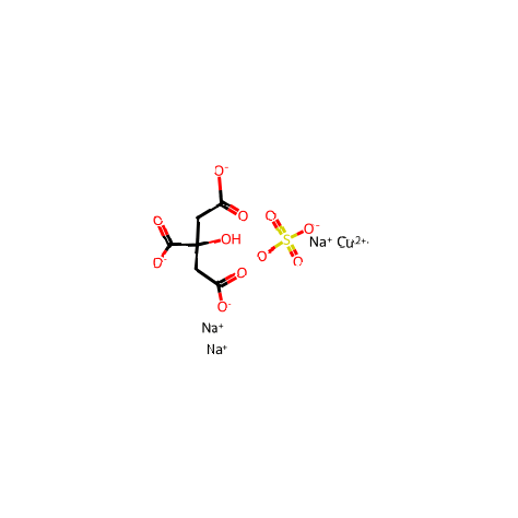 O=C([O-])CC(O)(CC(=O)[O-])C(=O)[O-].O=S(=O)([O-])[O-].[Cu+2].[Na+].[Na+].[Na+]